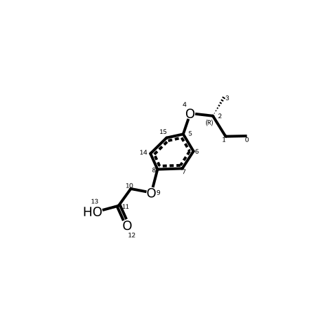 CC[C@@H](C)Oc1ccc(OCC(=O)O)cc1